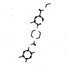 CCOC(=O)c1cnc(N2CCN(C(=O)Nc3cc(Cl)c(Cl)cc3Cl)CC2)c(Cl)c1